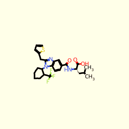 CC(C)C[C@H](NC(=O)c1ccc2c(c1)nc(Cc1cccs1)n2C1CCCCC1C(F)(F)F)C(=O)O